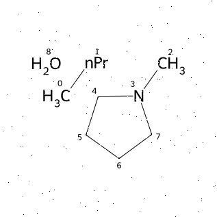 CCCC.CN1CCCC1.O